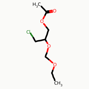 CCOCOC(CCl)COC(C)=O